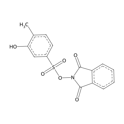 Cc1ccc(S(=O)(=O)ON2C(=O)c3ccccc3C2=O)cc1O